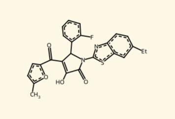 CCc1ccc2nc(N3C(=O)C(O)=C(C(=O)c4ccc(C)o4)C3c3ccccc3F)sc2c1